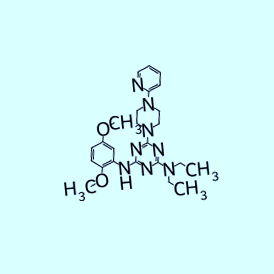 CCN(CC)c1nc(Nc2cc(OC)ccc2OC)nc(N2CCN(c3ccccn3)CC2)n1